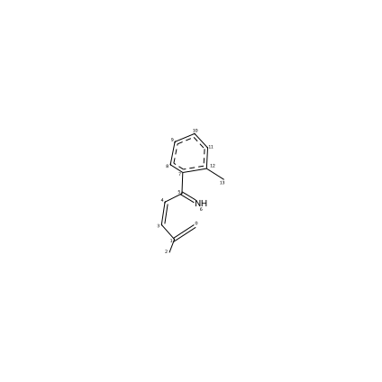 C=C(C)/C=C\C(=N)c1ccccc1C